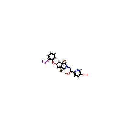 Oc1ccc(C(O)CN2C[C@]3(S)C[C@@H](Oc4ccccc4P)C[C@]3(S)C2)nc1